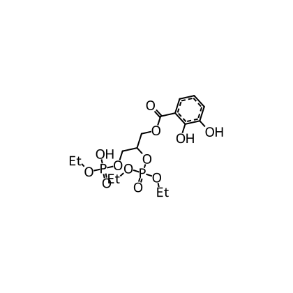 CCOP(=O)(O)OCC(COC(=O)c1cccc(O)c1O)OP(=O)(OCC)OCC